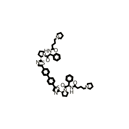 O=C(CCCN1CCCC1)N[C@@H](C(=O)N1CCC[C@H]1c1ncc(-c2ccc(-c3ccc(-c4cnc([C@@H]5CCCN5C(=O)[C@H](NC(=O)CCCN5CCCC5)c5ccccc5)s4)cc3)cc2)s1)c1ccccc1